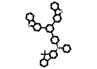 CC1(C)c2ccccc2-c2ccc(N(c3ccccc3)c3ccc(-c4cc(-c5ccc6sc7ccccc7c6c5)cc(-c5ccc6sc7ccccc7c6c5)c4)cc3)cc21